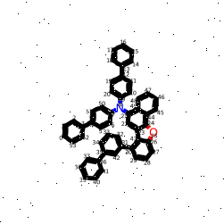 c1ccc(-c2ccc(N(c3ccc(-c4ccccc4)cc3)c3cc4c(oc5cccc(-c6cccc(-c7ccccc7)c6)c54)c4ccccc34)cc2)cc1